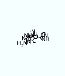 CCC(c1nc(N)c2nc[nH]c2n1)c1cc(-c2c[nH]c3ncccc23)cnc1OC.[N]